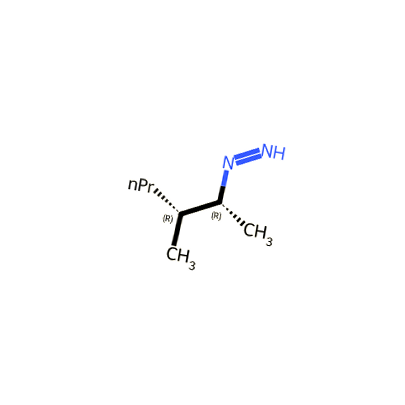 CCC[C@@H](C)[C@@H](C)N=N